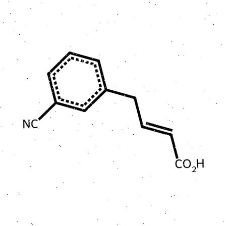 N#Cc1cccc(CC=CC(=O)O)c1